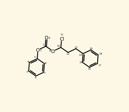 O=C(Oc1ccccc1)OC(Cl)CCc1ccccc1